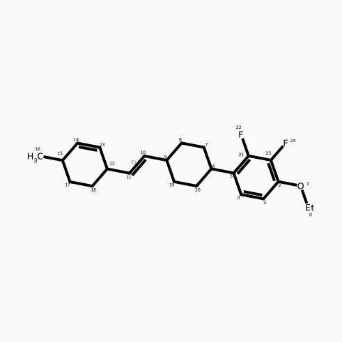 CCOc1ccc(C2CCC(/C=C/C3C=CC(C)CC3)CC2)c(F)c1F